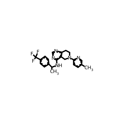 Cc1ccc(N2CCc3ncnc(NC(C)c4ccc(C(F)(F)F)cc4)c3C2)nc1